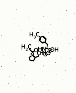 C=CC(=O)N1CCCC1COC(=O)N[C@@H](Cc1ccc(C)cc1)B(O)O